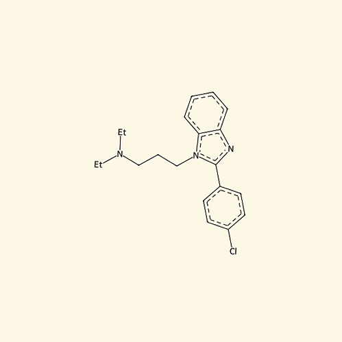 CCN(CC)CCCn1c(-c2ccc(Cl)cc2)nc2ccccc21